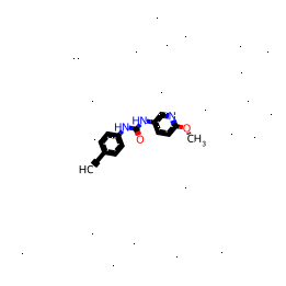 C#Cc1ccc(NC(=O)Nc2ccc(OC)nc2)cc1